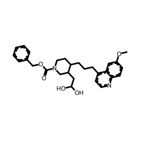 COc1ccc2nccc(CCCC3CCN(C(=O)OCc4ccccc4)CC3CC(O)O)c2c1